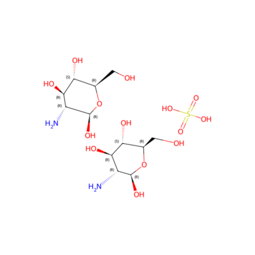 N[C@@H]1[C@@H](O)[C@H](O)[C@@H](CO)O[C@H]1O.N[C@@H]1[C@@H](O)[C@H](O)[C@@H](CO)O[C@H]1O.O=S(=O)(O)O